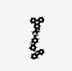 c1ccc2c(c1)c1ccccc1c1cc3c(cc21)sc1nc(-c2ccc4c(c2)oc2ccc(-n5c6ccccc6c6ccccc65)cc24)ncc13